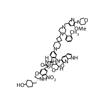 COc1cc(CN2CCN(C3CC4(CCN(c5ccc(C(=O)NS(=O)(=O)c6cc7c(c([N+](=O)[O-])c6)N[C@H](CC6CCC(O)CC6)CO7)c(N6c7cc8cc[nH]c8nc7O[C@H]7COCC[C@@H]76)c5)CC4)C3)[C@H](c3ccccc3C)C2)cnc1N1CCOCC1